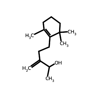 C=C(CCC1=C(C)CCCC1(C)C)C(C)O